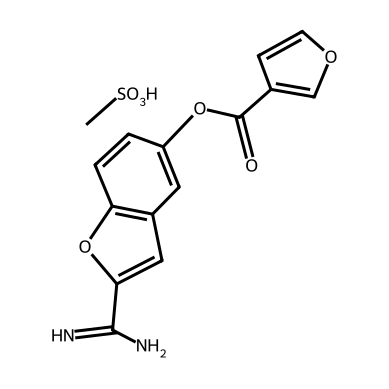 CS(=O)(=O)O.N=C(N)c1cc2cc(OC(=O)c3ccoc3)ccc2o1